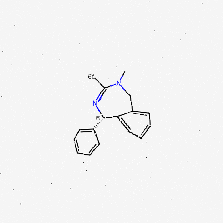 CCC1=N[C@@H](c2ccccc2)c2ccccc2CN1C